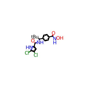 CC(C)(C)C(NC(=O)c1cc(Cl)c(Cl)[nH]1)c1ccc(C(=O)NO)cc1